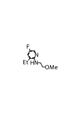 CCc1cc(F)cnc1NCCOC